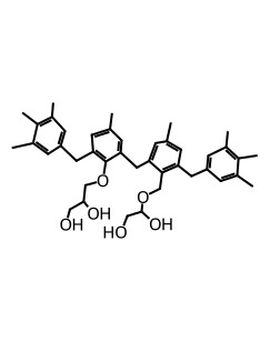 Cc1cc(Cc2cc(C)c(C)c(C)c2)c(COC(O)CO)c(Cc2cc(C)cc(Cc3cc(C)c(C)c(C)c3)c2OCC(O)CO)c1